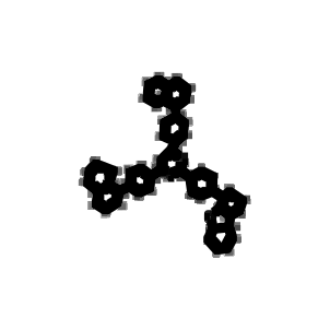 C1=CC2Oc3c(-c4ccc(-c5nc(C6=CCC(c7cccc8ccccc78)C=C6)cc(-c6ccc(-c7cccc8ccccc78)cc6)n5)cc4)cccc3C2C=C1